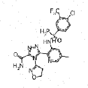 Cc1cnc(-c2nnc(C(N)=O)n2C2=NOCC2)c(N[SH](=O)(P)c2ccc(Cl)c(C(F)(F)F)c2)c1